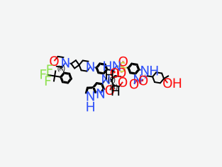 CC1(O)CCC(CNc2ccc(S(=O)(=O)NC(=O)c3ccc(N4CCC5(CC4)CC(N4CCOC[C@H]4c4ccccc4C(C)(C)C(F)(F)F)C5)cc3N3c4cc5cc[nH]c5nc4O[C@H]4COCC[C@@H]43)cc2[N+](=O)[O-])CC1